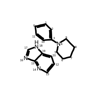 c1ccc(N2CCCCC2)cc1.c1cnc2nc[nH]c2c1